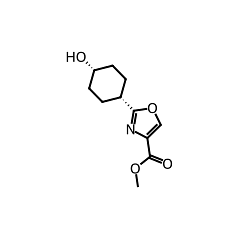 COC(=O)c1coc([C@H]2CC[C@@H](O)CC2)n1